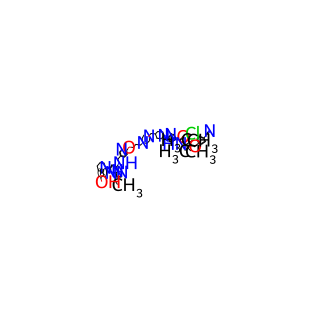 CCc1cnn2c(NCc3ccc(OCCCN4CCN(CC5CCN(c6ccc(C(=O)N[C@H]7C(C)(C)[C@H](Oc8ccc(C#N)c(Cl)c8)C7(C)C)cn6)CC5)CC4)nc3)cc(N3CCCC[C@@H]3CCO)nc12